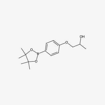 CC(O)COc1ccc(B2OC(C)(C)C(C)(C)O2)cc1